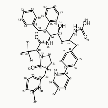 Cc1ccc(-c2ccc(CC(C[C@H](O)[C@@H](NC(=O)[C@@H](N3CCN(Cc4cccc(C)n4)C3=O)C(C)(C)C)C(Cc3ccccc3)c3ccccc3)NC(=O)O)cc2)nc1